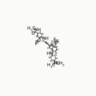 CNC(=O)c1ccc(NCC#Cc2cc3c(NC4CCC(N(C)C)CC4)cccc3n2CC(F)(F)F)c(OCF)c1